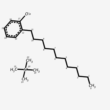 CCCCCCCCCCCCc1ccccc1[O-].C[N+](C)(C)C